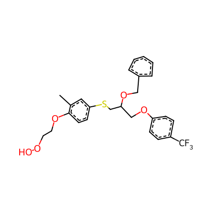 Cc1cc(SCC(COc2ccc(C(F)(F)F)cc2)OCc2ccccc2)ccc1OCCOO